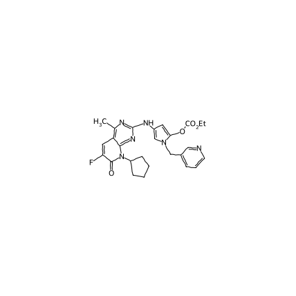 CCOC(=O)Oc1cc(Nc2nc(C)c3cc(F)c(=O)n(C4CCCC4)c3n2)cn1Cc1cccnc1